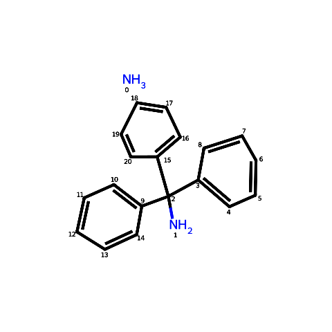 N.NC(c1ccccc1)(c1ccccc1)c1ccccc1